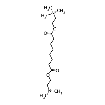 CN(C)CCOC(=O)CCCCCCC(=O)OCC[N+](C)(C)C